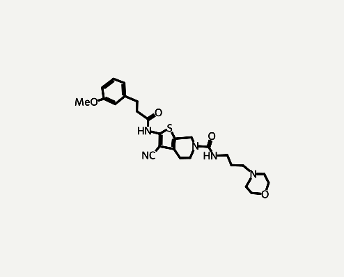 COc1cccc(CCC(=O)Nc2sc3c(c2C#N)CCN(C(=O)NCCCN2CCOCC2)C3)c1